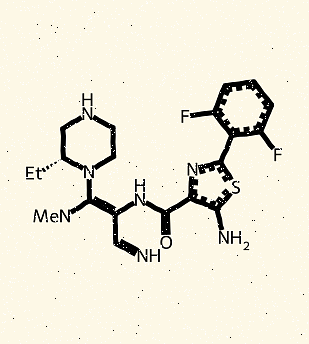 CC[C@@H]1CNCCN1/C(NC)=C(/C=N)NC(=O)c1nc(-c2c(F)cccc2F)sc1N